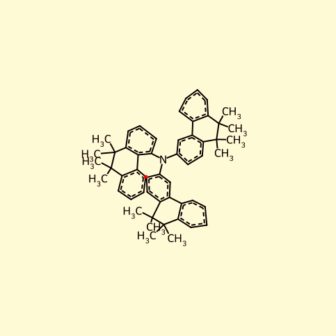 CC1(C)c2ccccc2-c2cc(N(c3ccc4c(c3)-c3ccccc3C(C)(C)C4(C)C)c3cccc4c3-c3ccccc3C(C)(C)C4(C)C)ccc2C1(C)C